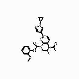 COc1ccccc1OC(=O)N1C[C@H](C)N(C(C)=O)c2ccc(-c3cnn(C4CC4)c3)nc21